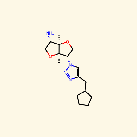 N[C@H]1CO[C@H]2[C@@H]1OC[C@@H]2n1cc(CC2CCCC2)nn1